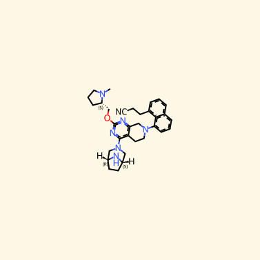 CN1CCC[C@H]1COc1nc2c(c(N3C[C@H]4CC[C@@H](C3)N4)n1)CCN(c1cccc3cccc(CCC#N)c13)C2